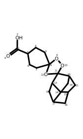 O=C(O)C1CCC2(CC1)OOC1(O2)C2CC3CC(C2)CC1C3